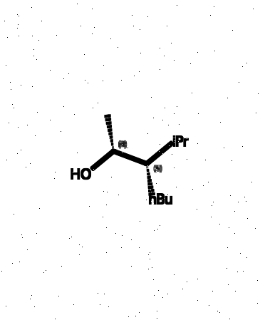 CCCC[C@@H](C(C)C)[C@@H](C)O